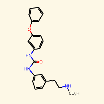 O=C(O)NCCc1cccc(NC(=O)Nc2cccc(Oc3ccccc3)c2)c1